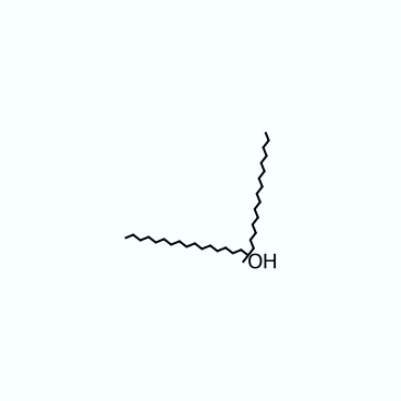 CCCCCCCCCCCCCCCCC(C)(O)CCCCCCCCCCCCCCCC